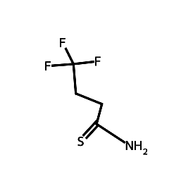 NC(=S)CCC(F)(F)F